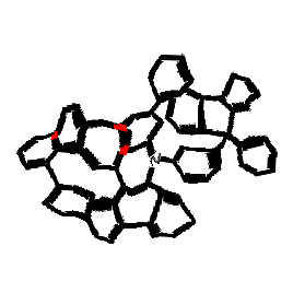 c1ccc(-c2cc(-c3ccccc3)cc(N(c3cccc(C4(c5ccccc5)c5ccccc5-c5ccccc54)c3)c3c(-c4cccc(-c5ccccc5-c5ccccc5)c4)c4ccccc4c4ccccc34)c2)cc1